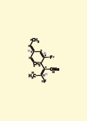 C=CC(=C/C)/C=C(/F)C/C(OC)=C(\C)F